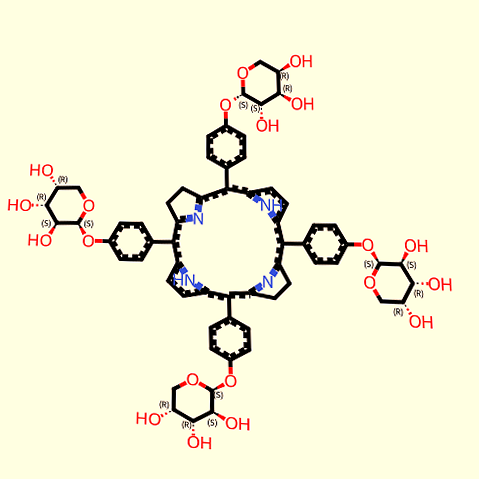 O[C@@H]1[C@H](Oc2ccc(-c3c4nc(c(-c5ccc(O[C@@H]6OC[C@@H](O)[C@@H](O)[C@@H]6O)cc5)c5ccc([nH]5)c(-c5ccc(O[C@@H]6OC[C@@H](O)[C@@H](O)[C@@H]6O)cc5)c5nc(c(-c6ccc(O[C@@H]7OC[C@@H](O)[C@@H](O)[C@@H]7O)cc6)c6ccc3[nH]6)CC5)CC4)cc2)OC[C@@H](O)[C@H]1O